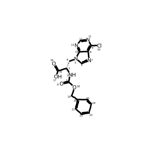 O=C(N[C@@H](Cn1cnc2c(Cl)ncnc21)C(=O)O)OCc1ccccc1